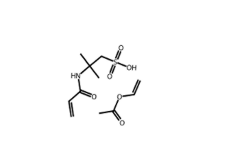 C=CC(=O)NC(C)(C)CS(=O)(=O)O.C=COC(C)=O